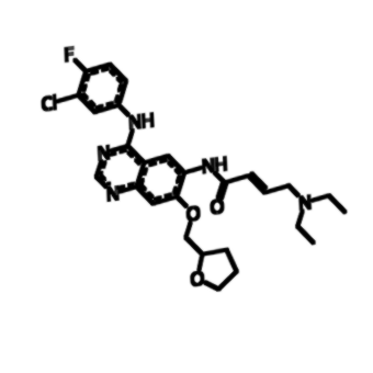 CCN(CC)C/C=C/C(=O)Nc1cc2c(Nc3ccc(F)c(Cl)c3)ncnc2cc1OCC1CCCO1